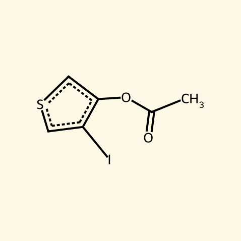 CC(=O)Oc1cscc1I